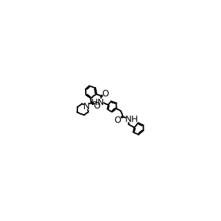 O=C(Cc1ccc(NC(=O)c2ccccc2C(=O)N2CCCCC2)cc1)NCc1ccccc1